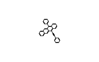 C(#Cc1c2ccccc2c(-c2ccccc2)c2cc3ccccc3cc12)c1ccccc1